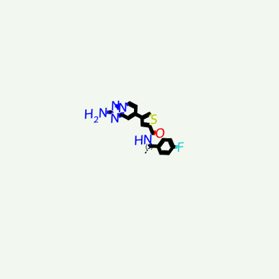 C[C@H](NC(=O)c1cc(-c2ccn3nc(N)nc3c2)cs1)c1ccc(F)cc1